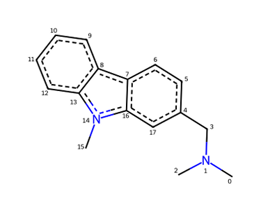 CN(C)Cc1ccc2c3ccccc3n(C)c2c1